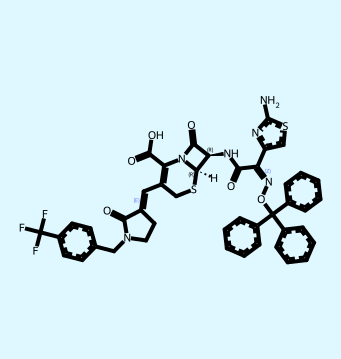 Nc1nc(/C(=N/OC(c2ccccc2)(c2ccccc2)c2ccccc2)C(=O)N[C@@H]2C(=O)N3C(C(=O)O)=C(/C=C4\CCN(Cc5ccc(C(F)(F)F)cc5)C4=O)CS[C@H]23)cs1